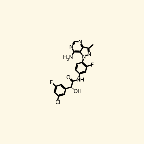 Cc1nn(-c2ccc(NC(=O)[C@H](O)c3cc(F)cc(Cl)c3)cc2F)c2c(N)ncnc12